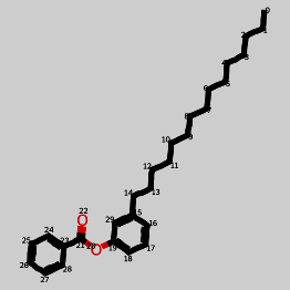 CCCCCCCCCCCCCCCc1cccc(OC(=O)c2ccccc2)c1